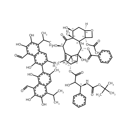 CC(=O)O[C@@]12CO[C@@H]1C[C@H](O)[C@@]1(C)C(=O)[C@H](O)C3=C(C)[C@@H](OC(=O)C(O)[C@@H](NC(=O)OC(C)(C)C)c4ccccc4)C[C@@](O)([C@@H](OC(=O)c4ccccc4)[C@H]21)C3(C)C.Cc1cc2c(C(C)C)c(O)c(O)c(C=O)c2c(O)c1-c1c(C)cc2c(C(C)C)c(O)c(O)c(C=O)c2c1O